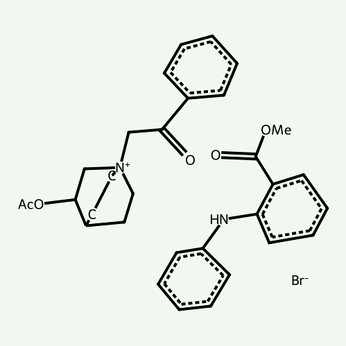 CC(=O)OC1C[N+]2(CC(=O)c3ccccc3)CCC1CC2.COC(=O)c1ccccc1Nc1ccccc1.[Br-]